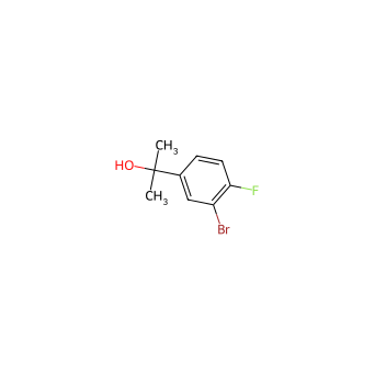 CC(C)(O)c1ccc(F)c(Br)c1